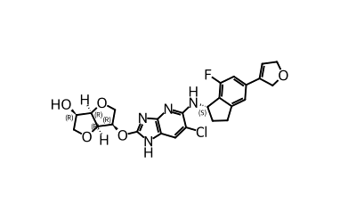 O[C@@H]1CO[C@H]2[C@@H]1OC[C@H]2Oc1nc2nc(N[C@H]3CCc4cc(C5=CCOC5)cc(F)c43)c(Cl)cc2[nH]1